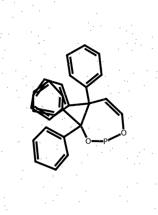 C1=CC(c2ccccc2)(c2ccccc2)C(c2ccccc2)(c2ccccc2)O[P]O1